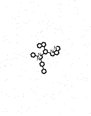 c1ccc(-c2ccc(-c3cc(-c4cc(-c5ccc6ccc7cccnc7c6n5)cc(-c5cccc6ccccc56)c4)nc(-c4ccccc4)n3)cc2)cc1